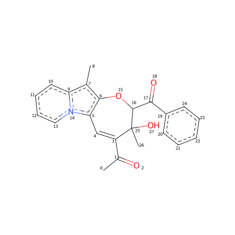 CC(=O)C1=Cc2c(c(C)c3ccccn23)OC(C(=O)c2ccccc2)C1(C)O